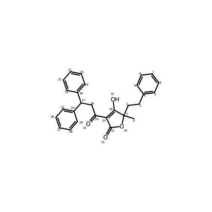 CC1(CCc2ccccc2)OC(=O)C(C(=O)CC(c2ccccc2)c2ccccc2)=C1O